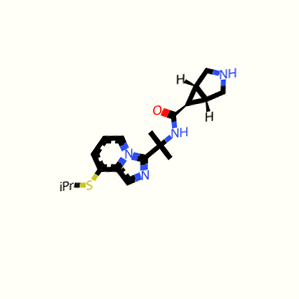 CC(C)Sc1cccn2c(C(C)(C)NC(=O)[C@H]3[C@@H]4CNC[C@@H]43)ncc12